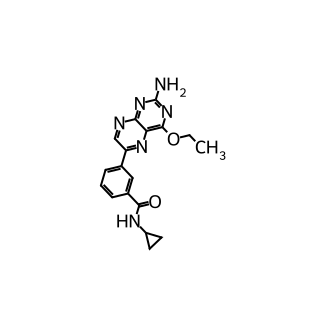 CCOc1nc(N)nc2ncc(-c3cccc(C(=O)NC4CC4)c3)nc12